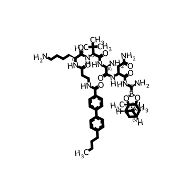 CCCCc1ccc(-c2ccc(C(=O)NCCC(=O)N[C@@H](CCCCN)C(=O)N[C@H](C(=O)N[C@@H](N)C(=O)NC(CC(N)=O)C(=O)N[C@@H](N)B3OC4C[C@@H]5C[C@@H](C5(C)C)[C@]4(C)O3)C(C)(C)C)cc2)cc1